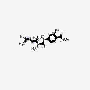 CNC(=S)c1ccc(N(C)C(=S)N(C)/C(C)=C/N=C(\C)C#N)cc1F